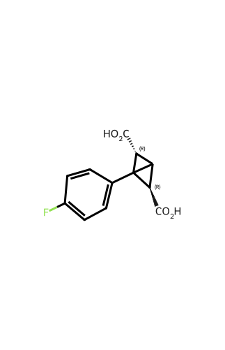 O=C(O)[C@@H]1C2[C@@H](C(=O)O)C21c1ccc(F)cc1